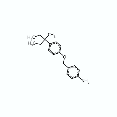 CCC(C)(CC)c1ccc(OCc2ccc(N)cc2)cc1